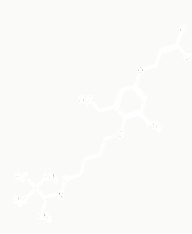 CCc1cc(OCC=C(Cl)Cl)cc(C)c1OCCCCON=C(C)C(C)(C)C